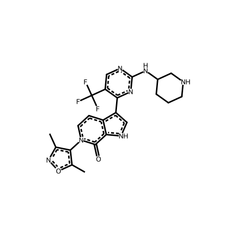 Cc1noc(C)c1-n1ccc2c(-c3nc(NC4CCCNC4)ncc3C(F)(F)F)c[nH]c2c1=O